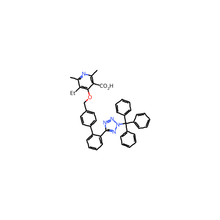 CCc1c(C)nc(C)c(C(=O)O)c1OCc1ccc(-c2ccccc2-c2nnn(C(c3ccccc3)(c3ccccc3)c3ccccc3)n2)cc1